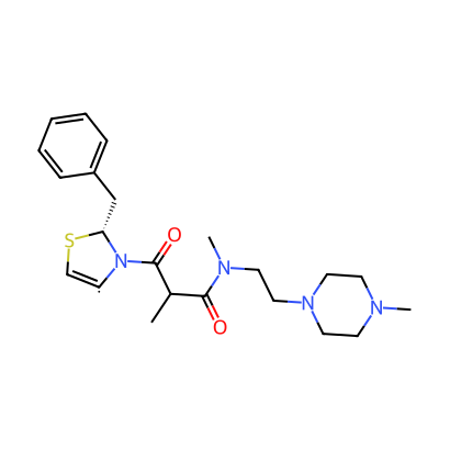 CC(C(=O)N(C)CCN1CCN(C)CC1)C(=O)N1[C]=CS[C@@H]1Cc1ccccc1